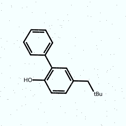 CC(C)(C)Cc1ccc(O)c(-c2ccccc2)c1